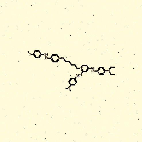 CCN(CC)c1ccc(NNc2cc[n+](CCCCCC[n+]3ccc(NNc4ccc(OC)cc4)cc3)c(/N=N/c3ccc(N(C)C)cc3)c2)cc1